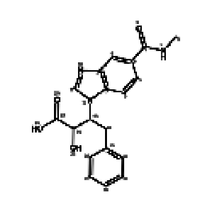 CNC(=O)c1ccc2c(c1)ncn2C(Cc1ccccc1)C(O)C(=O)O